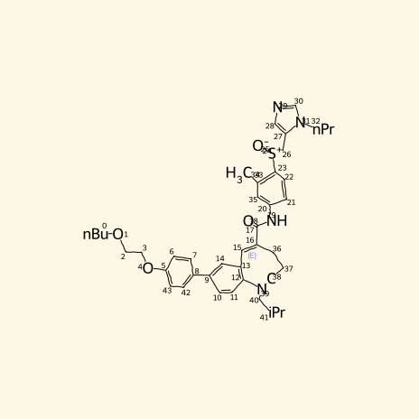 CCCCOCCOc1ccc(-c2ccc3c(c2)/C=C(/C(=O)Nc2ccc([S+]([O-])Cc4cncn4CCC)c(C)c2)CCCN3CC(C)C)cc1